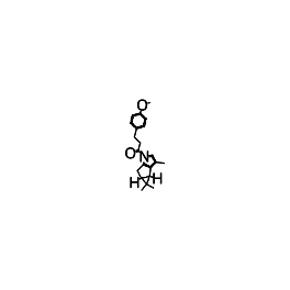 COc1ccc(CCC(=O)n2cc(C)c3c2C[C@@H]2[C@H]3C2(C)C)cc1